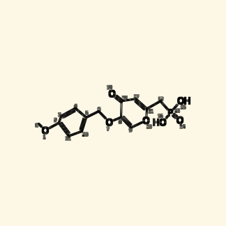 COc1ccc(COc2coc(CP(=O)(O)O)cc2=O)cc1